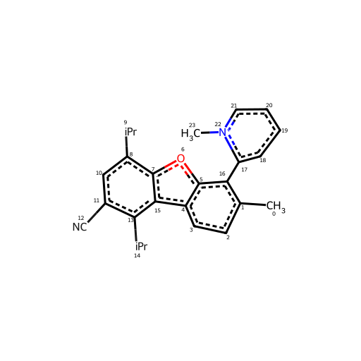 Cc1ccc2c(oc3c(C(C)C)cc(C#N)c(C(C)C)c32)c1-c1cccc[n+]1C